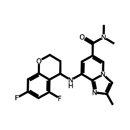 Cc1cn2cc(C(=O)N(C)C)cc(NC3CCOc4cc(F)cc(F)c43)c2n1